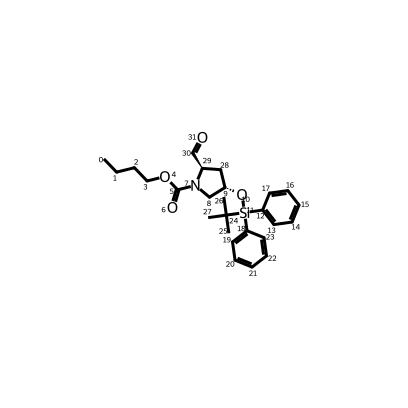 CCCCOC(=O)N1C[C@@H](O[Si](c2ccccc2)(c2ccccc2)C(C)(C)C)C[C@@H]1C=O